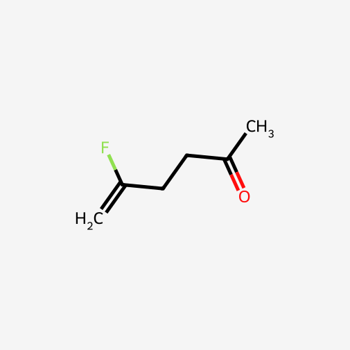 C=C(F)CCC(C)=O